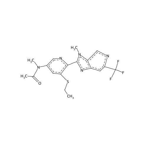 CCSc1cc(N(C)C(C)=O)cnc1-c1nc2cc(C(F)(F)F)ncc2n1C